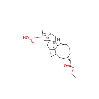 CCOC(=O)/C=C1/CCCCC2[C@H](CCC3(C)[C@@H]([C@H](C)CCC(=O)O)CC[C@@H]23)C(C)CC1